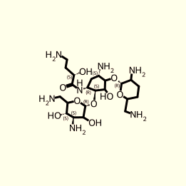 NCC[C@H](O)C(=O)N[C@@H]1C[C@H](N)C(O[C@H]2OC(CN)CCC2N)C(O)[C@H]1O[C@H]1OC(CN)[C@@H](O)[C@H](N)C1O